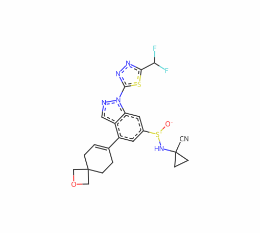 N#CC1(N[S+]([O-])c2cc(C3=CCC4(CC3)COC4)c3cnn(-c4nnc(C(F)F)s4)c3c2)CC1